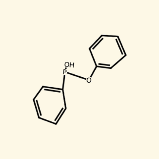 OP(Oc1ccccc1)c1ccccc1